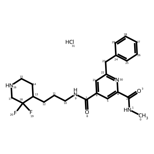 CNC(=O)c1cc(C(=O)NCCCC2CCNCC2(F)F)cc(Cc2ccccc2)n1.Cl